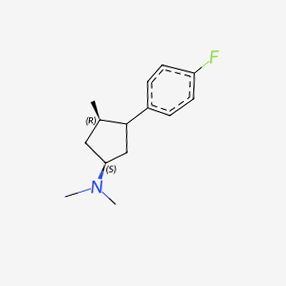 C[C@@H]1C[C@H](N(C)C)CC1c1ccc(F)cc1